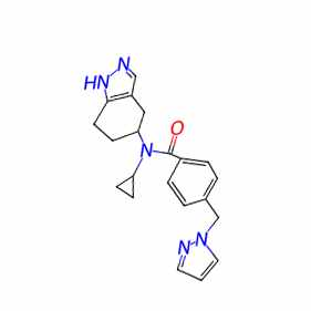 O=C(c1ccc(Cn2cccn2)cc1)N(C1CC1)C1CCc2[nH]ncc2C1